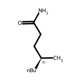 CCCC[C@H](C)CCC(N)=O